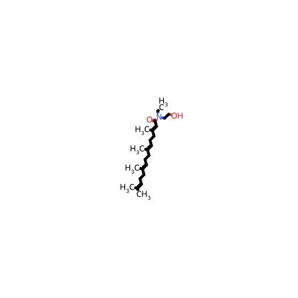 CCN(CCO)C(=O)/C=C(\C)CC/C=C(\C)CC/C=C(\C)CCC=C(C)C